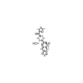 CS1(=O)=NC(N2CCN(C(=O)c3ccco3)CC2)=Nc2cc3c(cc21)OCO3.Cl